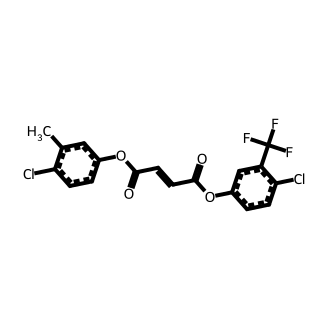 Cc1cc(OC(=O)/C=C/C(=O)Oc2ccc(Cl)c(C(F)(F)F)c2)ccc1Cl